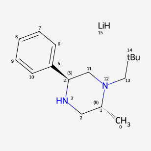 C[C@@H]1CN[C@@H](c2ccccc2)CN1CC(C)(C)C.[LiH]